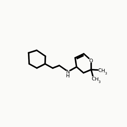 CC1(C)CC(NCCC2CCCCC2)C=CO1